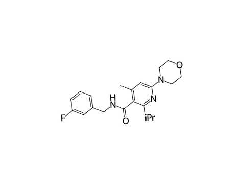 Cc1cc(N2CCOCC2)nc(C(C)C)c1C(=O)NCc1cccc(F)c1